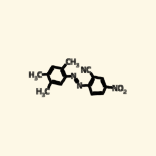 Cc1cc(C)c(N=Nc2ccc([N+](=O)[O-])cc2C#N)cc1C